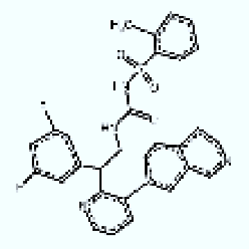 Cc1ccccc1S(=O)(=O)NC(=O)NCC(c1cc(F)cc(F)c1)c1ncccc1-c1ccc2ccncc2c1